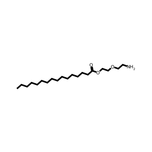 CCCCCCCCCCCCCCCC(=O)OCCOCCN